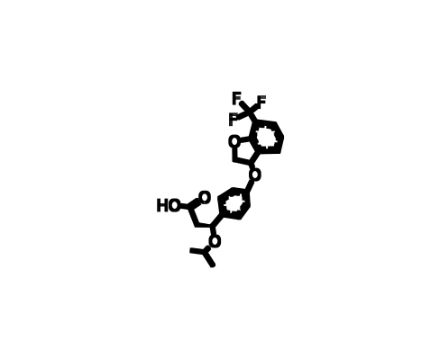 CC(C)O[C@@H](CC(=O)O)c1ccc(OC2COc3c2cccc3C(F)(F)F)cc1